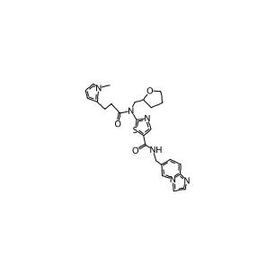 Cn1cccc1CCC(=O)N(CC1CCCO1)c1ncc(C(=O)NCc2ccc3nccn3c2)s1